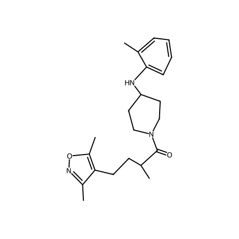 Cc1ccccc1NC1CCN(C(=O)C(C)CCc2c(C)noc2C)CC1